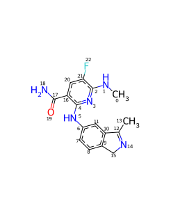 CNc1nc(Nc2ccc3c(c2)C(C)=NC3)c(C(N)=O)cc1F